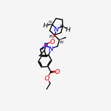 CCOC(=O)c1ccc2cnn(C[C@H](C)CN3[C@@H]4CC[C@H]3C[C@@H](OCC3CC3)C4)c2c1